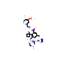 CCOc1cc(CCN2CC3(CCC3)c3c(CN4CCN(C)CC4)cc(Cn4ccnc4NC)cc3C2=O)ncc1F